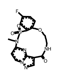 CN1c2ccn3ncc(c3n2)C(=O)NCCOc2ccc(F)cc2S1(=O)=O